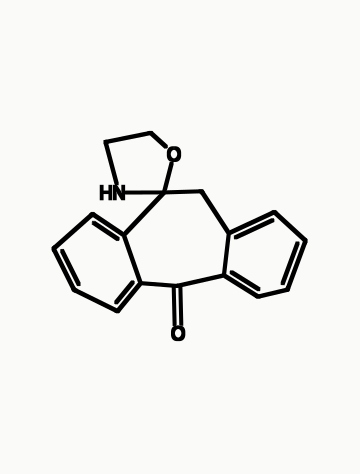 O=C1c2ccccc2CC2(NCCO2)c2ccccc21